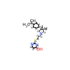 CC(C)c1ccc([C@]23C[C@H]2CN(CCCSc2nccc(O)n2)C3)cc1